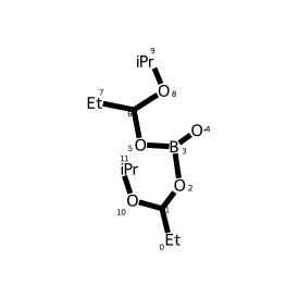 CCC(OB([O])OC(CC)OC(C)C)OC(C)C